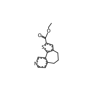 CCOC(=O)c1cc2c(s1)-c1cnccc1CCC2